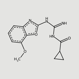 COc1cccc2nc(NC(=N)NC(=O)C3CC3)oc12